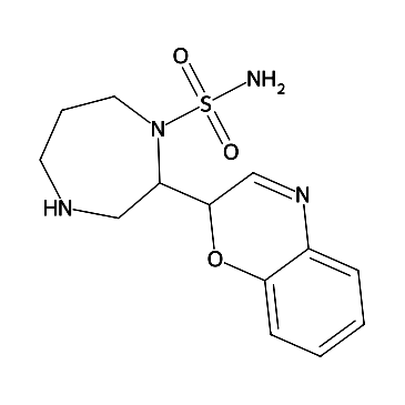 NS(=O)(=O)N1CCCNCC1C1C=Nc2ccccc2O1